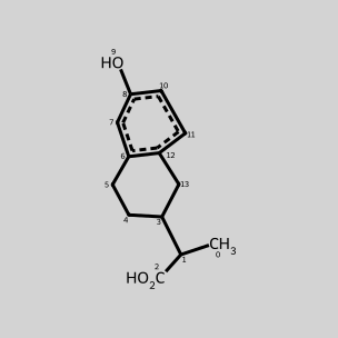 CC(C(=O)O)C1CCc2cc(O)ccc2C1